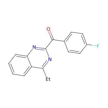 CCc1nc(C(=O)c2ccc(F)cc2)nc2ccccc12